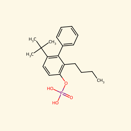 CCCCc1c(OP(=O)(O)O)ccc(C(C)(C)C)c1-c1ccccc1